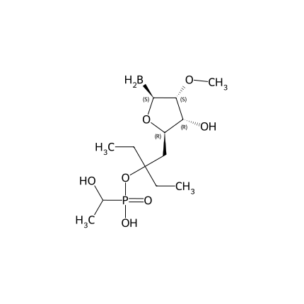 B[C@@H]1O[C@H](CC(CC)(CC)OP(=O)(O)C(C)O)[C@@H](O)[C@H]1OC